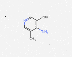 Cc1cncc(C(C)(C)C)c1N